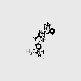 CC(C)N[C@H]1CC[C@H](CNc2nc(NCc3ccccc3OC(F)(F)F)ncc2C#N)CC1